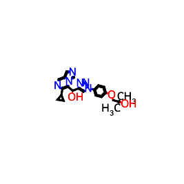 CC(C)(O)COc1ccc(-n2cc([C@H](O)c3c(C4CC4)ncc4cncn34)nn2)cc1